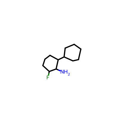 NC1C(F)CCCC1C1CCCCC1